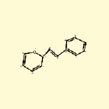 C1=CO[C@@H](/C=C/c2ccccc2)C=C1